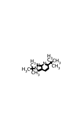 CC(C)(C)c1ccc2cn(C(C)(C)C)nc2n1